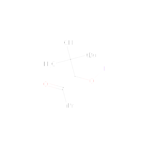 CC(C)C(=O)C(OI)C(C)(C)C(C)(C)C